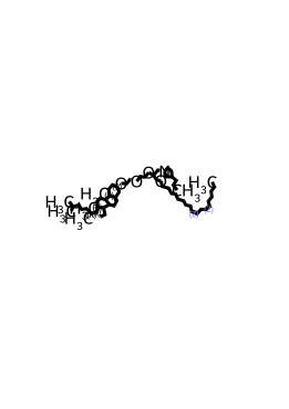 CCCCC/C=C\C/C=C\CCCCCCCCOCC(CN1CCC(CCC)C1)OCCOCCO[C@H]1CC[C@@]2(C)C(=CCC3C2CC[C@@]2(C)C3CC[C@@H]2[C@H](C)CCCC(C)C)C1